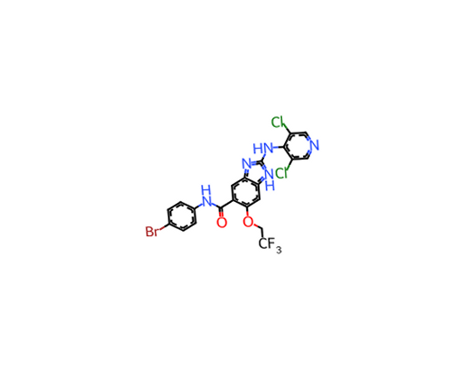 O=C(Nc1ccc(Br)cc1)c1cc2nc(Nc3c(Cl)cncc3Cl)[nH]c2cc1OCC(F)(F)F